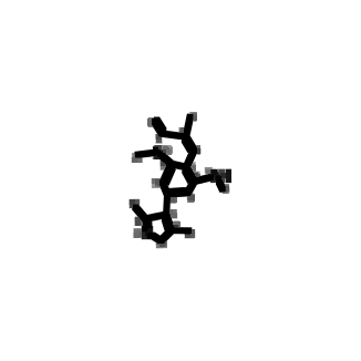 C=C/C(C)=C\c1c(NC)cc(C2=C(C)CN=C2C)cc1SC